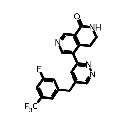 O=C1NCCc2c1cncc2-c1cc(Cc2cc(F)cc(C(F)(F)F)c2)cnn1